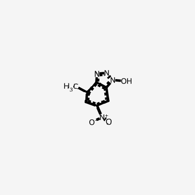 Cc1cc([N+](=O)[O-])cc2c1nnn2O